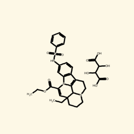 CCOC(=O)C1=CC2(CC)CCCN3CCc4c(n1c1cc(NS(=O)(=O)c5ccccc5)ccc41)C32.O=C(O)C(O)C(O)C(=O)O